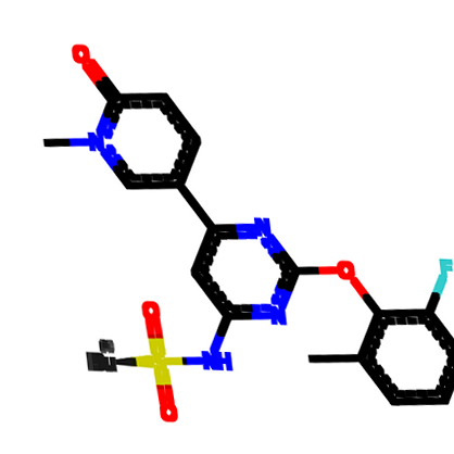 CC[C@H](C)S(=O)(=O)Nc1cc(-c2ccc(=O)n(C)c2)nc(Oc2c(C)cccc2F)n1